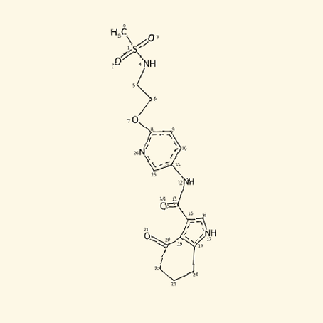 CS(=O)(=O)NCCOc1ccc(NC(=O)c2c[nH]c3c2C(=O)CCC3)cn1